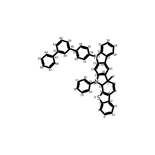 CC12C=Cc3c(sc4ccccc34)C1N(c1ccccc1)c1cc3c(cc12)c1ccccc1n3-c1ccc(-c2cccc(-c3ccccc3)c2)cc1